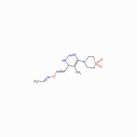 C/C=N/O/C=C/C1NC=NC(N2CCS(=O)(=O)CC2)=C1C